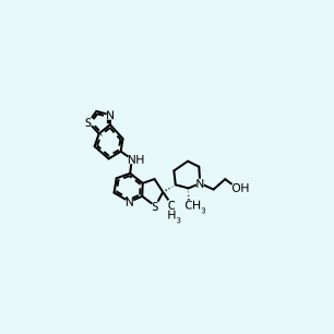 C[C@@H]1[C@H](C2(C)Cc3c(Nc4ccc5scnc5c4)ccnc3S2)CCCN1CCO